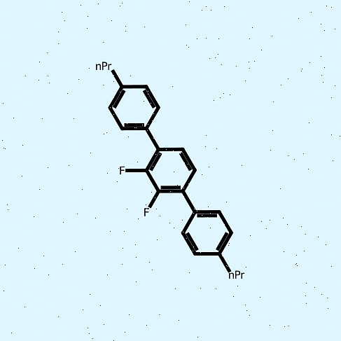 CCCc1ccc(-c2ccc(-c3ccc(CCC)cc3)c(F)c2F)cc1